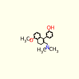 COc1cccc2c1CCC(CN(C)C)=C2c1cccc(O)c1